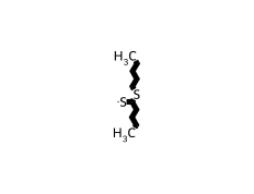 CCCCCSC([S])CCCC